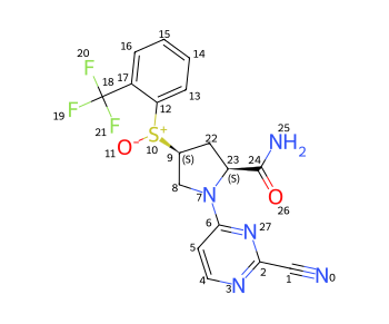 N#Cc1nccc(N2C[C@@H]([S+]([O-])c3ccccc3C(F)(F)F)C[C@H]2C(N)=O)n1